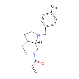 C=CC(=O)N1CCC2CCN(Cc3ccc(C(F)(F)F)cc3)[C@@H]2C1